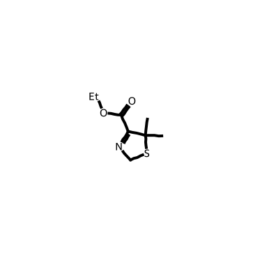 CCOC(=O)C1=NCSC1(C)C